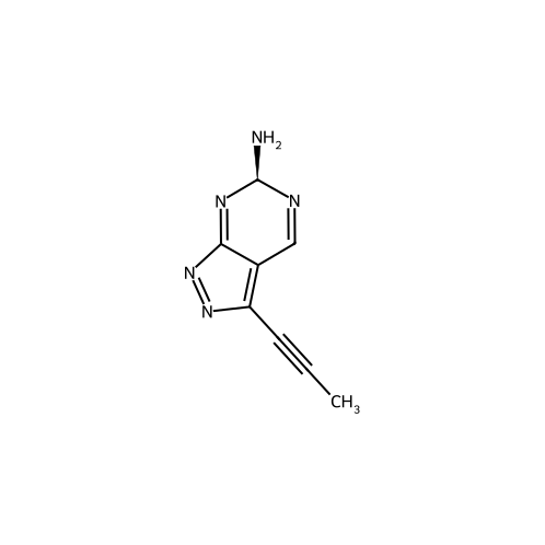 CC#CC1=C2C=N[C@H](N)N=C2N=N1